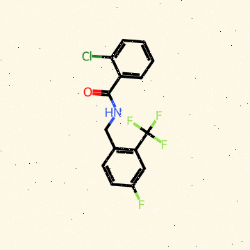 O=C(NCc1ccc(F)cc1C(F)(F)F)c1ccccc1Cl